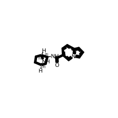 O=C(N[C@@H]1C[C@H]2CC[C@@H]1N2)c1ccc2cccn2c1